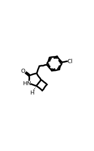 O=C1N[C@@H]2CCC2C1Cc1ccc(Cl)cc1